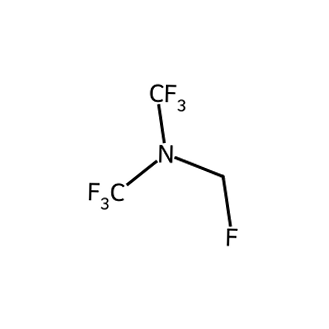 FCN(C(F)(F)F)C(F)(F)F